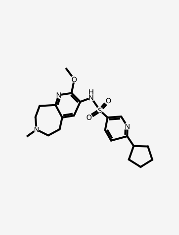 COc1nc2c(cc1NS(=O)(=O)c1ccc(C3CCCC3)nc1)CCN(C)CC2